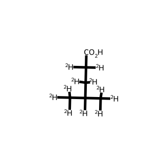 [2H]C([2H])([2H])C([2H])(C([2H])([2H])[2H])C([2H])([2H])C([2H])([2H])C(=O)O